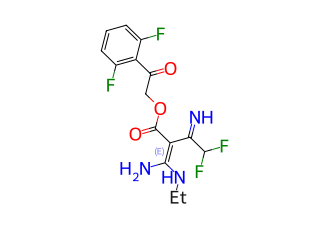 CCN/C(N)=C(\C(=N)C(F)F)C(=O)OCC(=O)c1c(F)cccc1F